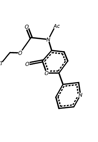 CC(=O)N(C(=O)OCCl)c1ccc(-c2cccnc2)oc1=O